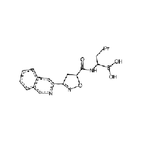 CC(C)CC(NC(=O)C1CC(c2cc3ccccc3cn2)=NO1)B(O)O